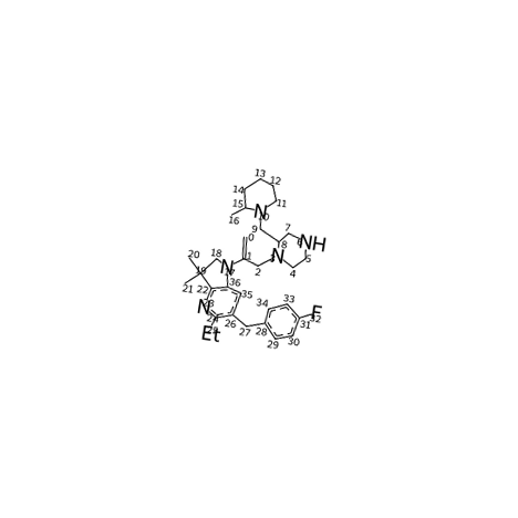 C=C(CN1CCNCC1CN1CCCCC1C)N1CC(C)(C)c2nc(CC)c(Cc3ccc(F)cc3)cc21